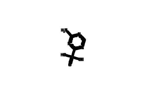 Nc1ncnc(P(=O)(O)O)n1